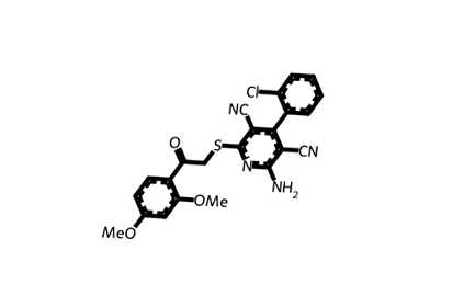 COc1ccc(C(=O)CSc2nc(N)c(C#N)c(-c3ccccc3Cl)c2C#N)c(OC)c1